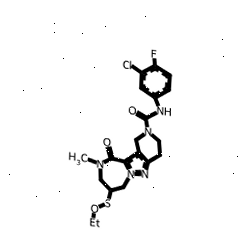 CCOSC1CN(C)C(=O)c2c3c(nn2C1)CCN(C(=O)Nc1ccc(F)c(Cl)c1)C3